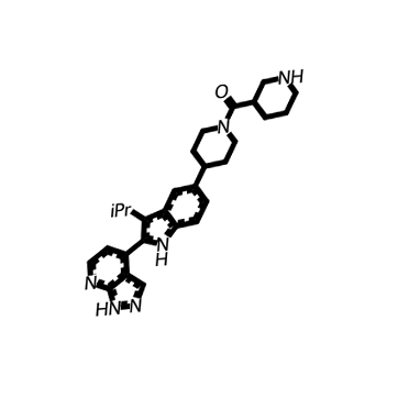 CC(C)c1c(-c2ccnc3[nH]ncc23)[nH]c2ccc(C3CCN(C(=O)C4CCCNC4)CC3)cc12